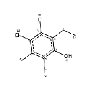 CCc1c(O)c(F)c(C)c(Cl)c1Cl